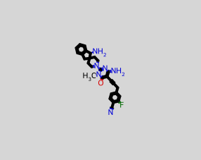 Cn1c(N2CCC3(CC2)Cc2ccccc2[C@H]3N)nc(N)c(C#CCc2ccc(C#N)c(F)c2)c1=O